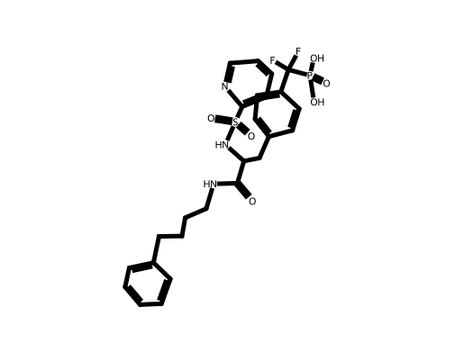 O=C(NCCCCc1ccccc1)C(Cc1ccc(C(F)(F)P(=O)(O)O)cc1)NS(=O)(=O)c1ccccn1